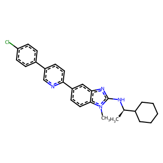 C[C@@H](Nc1nc2cc(-c3ccc(-c4ccc(Cl)cc4)cn3)ccc2n1C)C1CCCCC1